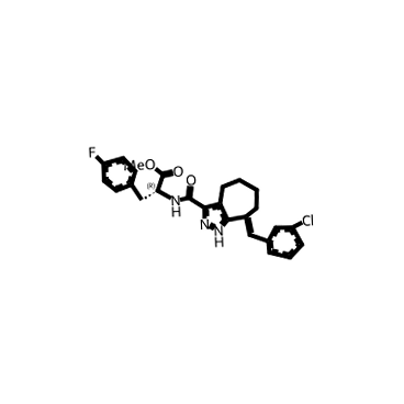 COC(=O)[C@@H](Cc1ccc(F)cc1)NC(=O)c1n[nH]c2c1CCCCC2=Cc1cccc(Cl)c1